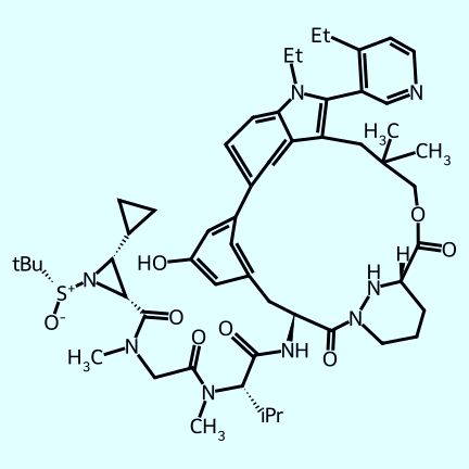 CCc1ccncc1-c1c2c3cc(ccc3n1CC)-c1cc(O)cc(c1)C[C@H](NC(=O)[C@H](C(C)C)N(C)C(=O)CN(C)C(=O)[C@H]1[C@@H](C3CC3)N1[S@+]([O-])C(C)(C)C)C(=O)N1CCC[C@H](N1)C(=O)OCC(C)(C)C2